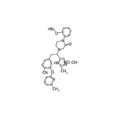 CCCCOc1ccccc1N1CCN(C(Cc2ccc(C#N)c(Oc3cccc(C)n3)c2)c2cnc(C)[nH]2)CC1=O.Cl.Cl